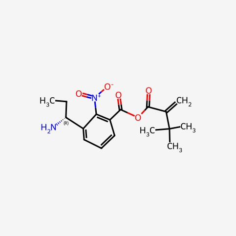 C=C(C(=O)OC(=O)c1cccc([C@H](N)CC)c1[N+](=O)[O-])C(C)(C)C